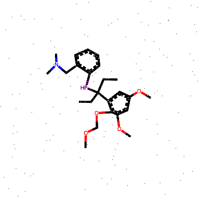 CCC(CC)(Pc1ccccc1CN(C)C)c1cc(OC)cc(OC)c1OCOC